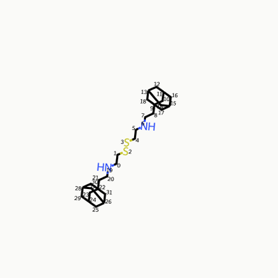 C(CSSCCNCCC12CC3CC(CC(C3)C1)C2)NCCC12CC3CC(CC(C3)C1)C2